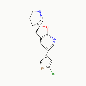 Brc1cc(-c2cnc3c(c2)C[C@@]2(CN4CCC2CC4)O3)cs1